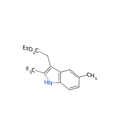 CCOC(=O)Cc1c(C(F)(F)F)[nH]c2ccc(C)cc12